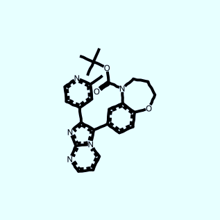 Cc1cc(-c2nc3ncccn3c2-c2ccc3c(c2)N(C(=O)OC(C)(C)C)CCCO3)ccn1